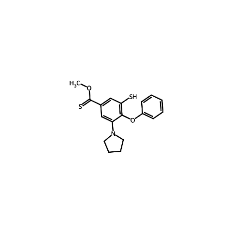 COC(=S)c1cc(S)c(Oc2ccccc2)c(N2CCCC2)c1